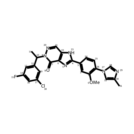 COc1cc(-c2nc3c(=O)n(C(C)c4cc(F)cc(Cl)c4)ncc3[nH]2)ccc1-n1cnc(C)c1